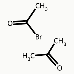 CC(=O)Br.CC(C)=O